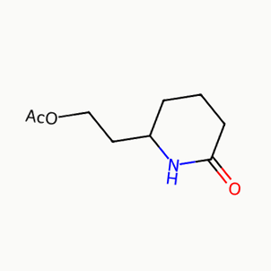 CC(=O)OCCC1CCCC(=O)N1